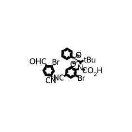 CC(C)(C)C(N(C(=O)O)c1ccc(C#N)cc1Br)S(=O)(=O)c1ccccc1.N#Cc1ccc(C=O)c(Br)c1